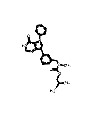 CC(C)COC(=O)N(C)Cc1cccc(-c2cn(-c3ccccc3)c3c(=O)[nH]cnc23)c1